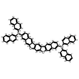 c1ccc2cc(N(c3ccc4ccccc4c3)c3ccc4cc5c(cc4c3)oc3cc4oc6cc7cc(N(c8ccc9ccccc9c8)c8ccc9ccccc9c8)ccc7cc6c4cc35)ccc2c1